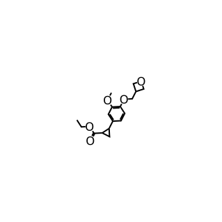 CCOC(=O)C1CC1c1ccc(OCC2COC2)c(OC)c1